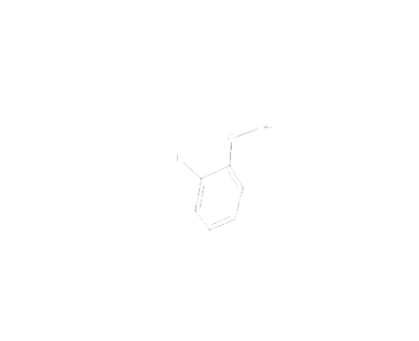 OOc1ccccc1F